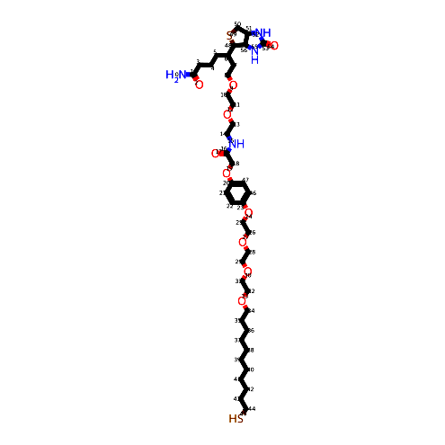 NC(=O)CCCC(CCOCCOCCNC(=O)COc1ccc(OCCOCCOCCOCCCCCCCCCCCS)cc1)C1SCC2NC(=O)NC21